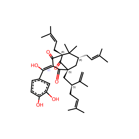 C=C(C)[C@@H](CC=C(C)C)C[C@@]12C[C@@H](CC=C(C)C)C(C)(C)[C@@](CC=C(C)C)(C(=O)/C(=C(\O)c3ccc(O)c(O)c3)C1=O)C2=O